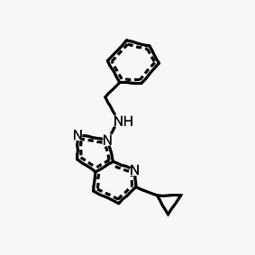 c1ccc(CNn2ncc3ccc(C4CC4)nc32)cc1